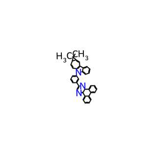 CC1(C)C2=Cc3c(n(-c4cccc(-c5cnc6c7ccccc7c7ccccc7c6n5)c4)c4ccccc34)C=CC21